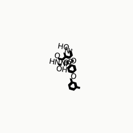 Cc1cccc(COc2ccc(S(=O)(=O)c3cc[n+](O)cc3C3NC(O)NC3=O)cc2)c1